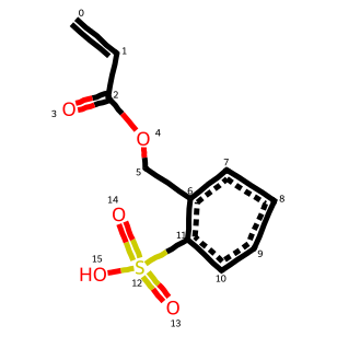 C=CC(=O)OCc1ccccc1S(=O)(=O)O